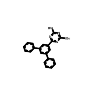 CC(C)(C)c1nc(-c2cc(-c3ccccc3)cc(-c3ccccc3)c2)nc(C(C)(C)C)n1